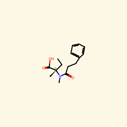 CC[C@@](C)(C(=O)O)N(C)C(=O)CCc1ccccc1